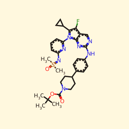 CC(C)(C)OC(=O)N1CCC(c2ccc(Nc3ncc4c(F)c(C5CC5)n(-c5cccc(N=S(C)(C)=O)n5)c4n3)cc2)CC1